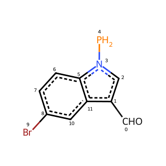 O=Cc1cn(P)c2ccc(Br)cc12